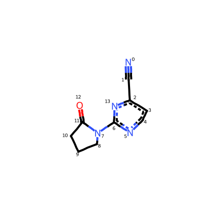 N#Cc1ccnc(N2CCCC2=O)n1